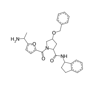 CC(N)c1ccc(C(=O)N2CC(OCc3ccccc3)CC2C(=O)NC2CCc3ccccc32)o1